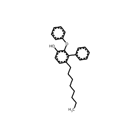 CCCCCCCCc1ccc(O)c(Oc2ccccc2)c1-c1ccccc1